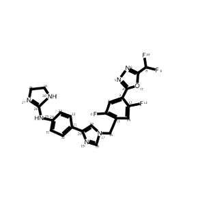 Fc1cc(-c2nnc(C(F)F)o2)c(F)cc1Cn1cnc(-c2ccc(NC3=NCCN3)cc2)c1